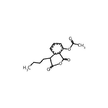 CCCCC1C(=O)OC(=O)c2c(OC(C)=O)cccc21